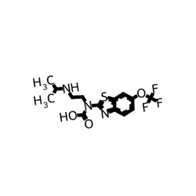 CC(C)NCCN(C(=O)O)c1nc2ccc(OC(F)(F)F)cc2s1